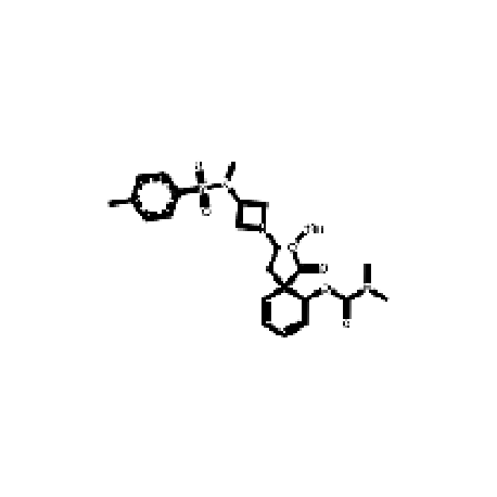 Cc1ccc(S(=O)(=O)N(C)C2CN(CCC3(C(=O)OC(C)(C)C)C=CC=CC3OC(=O)N(C)C)C2)cc1